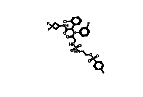 Cc1ccc(S(=O)(=O)OCCNS(=O)(=O)NCC(=O)N(c2cccc(F)c2)C(C(=O)NC2CC(F)(F)C2)c2ccccc2Cl)cc1